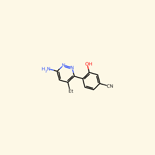 CCc1cc(N)nnc1-c1ccc(C#N)cc1O